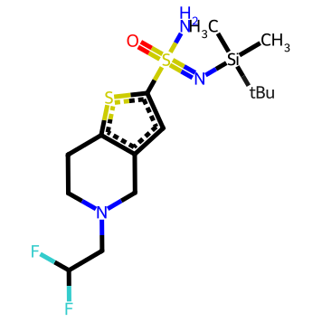 CC(C)(C)[Si](C)(C)N=S(N)(=O)c1cc2c(s1)CCN(CC(F)F)C2